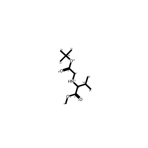 COC(=O)C(NCC(=O)OC(C)(C)C)C(C)C